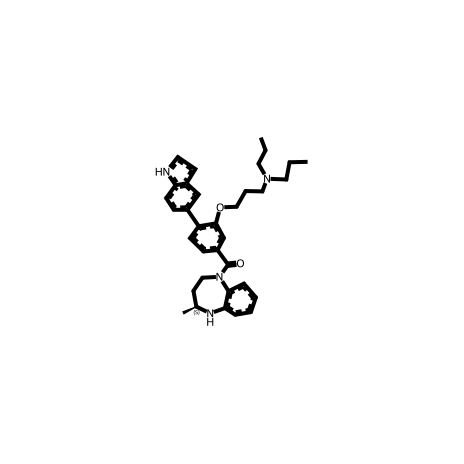 CCCN(CCC)CCCOc1cc(C(=O)N2CC[C@H](C)Nc3ccccc32)ccc1-c1ccc2[nH]ccc2c1